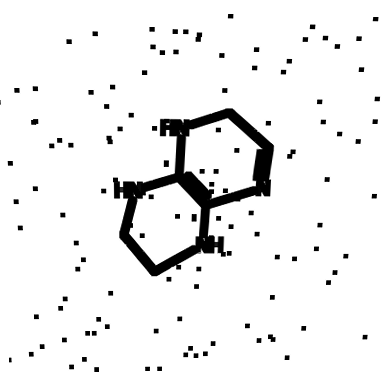 C1=NC2=C(NC1)NCCN2